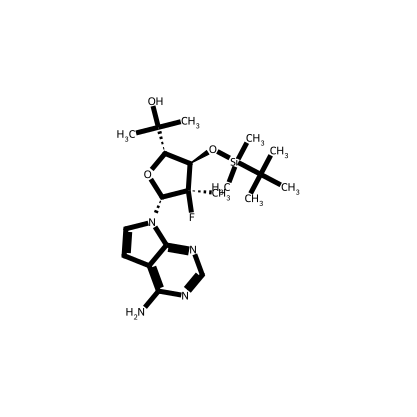 CC(C)(O)[C@H]1O[C@@H](n2ccc3c(N)ncnc32)[C@](C)(F)[C@@H]1O[Si](C)(C)C(C)(C)C